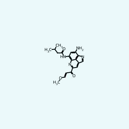 COC=CC(=O)c1cc2c3c(c(N)cc(NC(=O)CC(C)C)c3n1)N=C2